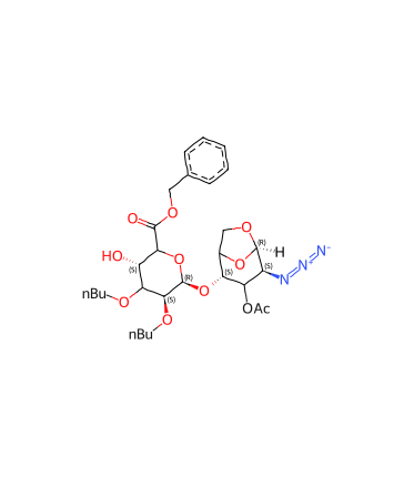 CCCCOC1[C@H](O)C(C(=O)OCc2ccccc2)O[C@@H](O[C@@H]2C3CO[C@H](O3)[C@@H](N=[N+]=[N-])C2OC(C)=O)[C@H]1OCCCC